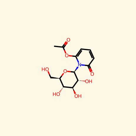 CC(=O)Oc1cccc(=O)n1[C@@H]1O[C@H](CO)[C@@H](O)[C@H](O)[C@H]1O